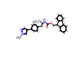 Cn1cc(-c2ccc(C[C@H](NC(=O)OCC3c4ccccc4-c4ccccc43)C(=O)O)cc2)cn1